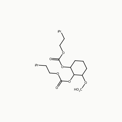 CC(C)CCOC(=O)OC1CCCC(OC(=O)O)C1OC(=O)OCCC(C)C